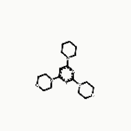 c1c(N2CCCCC2)nc(N2CCOCC2)nc1N1CCOCC1